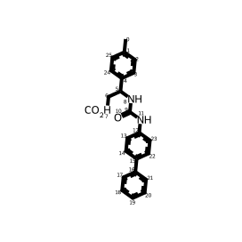 Cc1ccc(C(CC(=O)O)NC(=O)Nc2ccc(-c3ccccc3)cc2)cc1